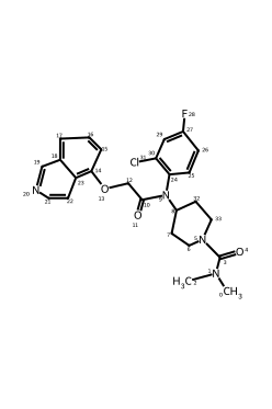 CN(C)C(=O)N1CCC(N(C(=O)COc2cccc3cnccc23)c2ccc(F)cc2Cl)CC1